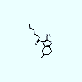 CCCCOC(=O)c1c(N)sc2c1CC(C)CC2